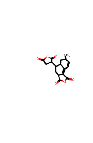 CC1C=CC2=C3C(=O)OC(=O)C3CC(C3CC(=O)OC3=O)C2C1